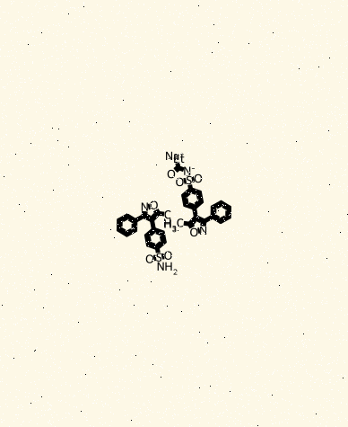 CCC(=O)[N-]S(=O)(=O)c1ccc(-c2c(-c3ccccc3)noc2C)cc1.Cc1onc(-c2ccccc2)c1-c1ccc(S(N)(=O)=O)cc1.[Na+]